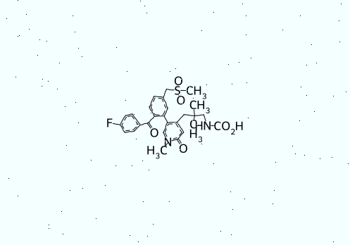 Cn1cc(-c2cc(CS(C)(=O)=O)ccc2C(=O)c2ccc(F)cc2)c(CC(C)(C)CNC(=O)O)cc1=O